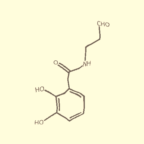 O=CCCNC(=O)c1cccc(O)c1O